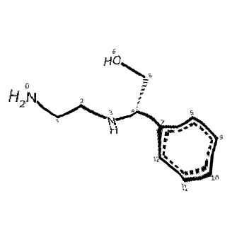 NCCN[C@H](CO)c1ccccc1